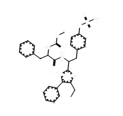 CCc1nc(C(Cc2ccc(OS(N)(=O)=O)cc2)NC(=O)C(Cc2ccccc2)NC(=O)OC)sc1-c1ccccc1